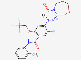 Cc1ccccc1NC(=O)c1cc(F)c(N(C)/N=C2/COCCCN2C=O)cc1OCC(F)(F)F